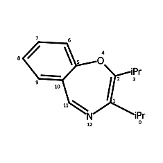 CC(C)C1=C(C(C)C)Oc2ccccc2C=N1